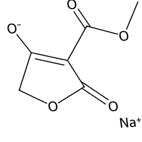 COC(=O)C1=C([O-])COC1=O.[Na+]